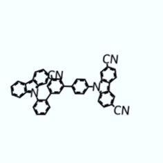 N#Cc1cc(-c2ccc(-n3c4ccc(C#N)cc4c4ccc(C#N)cc43)cc2)cc(-c2ccccc2-n2c3ccccc3c3ccccc32)c1